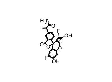 NC(=O)C(I)c1ccc2c(c1)C(=O)OC21c2cc(F)c(O)cc2Oc2cc(O)c(F)cc21